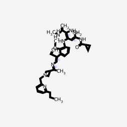 C=C/C(=C\N=C(/C)C1CN(Cc2cccc(CCC)n2)C1)c1cccc(NC(/C=C(\N)NC(=O)C2CC2)=C(/N)C(=C)NC)c1OC